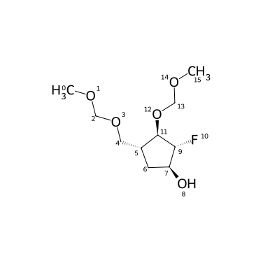 COCOC[C@H]1C[C@H](O)[C@@H](F)[C@@H]1OCOC